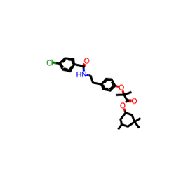 CC1CC(OC(=O)C(C)(C)Oc2ccc(CCNC(=O)c3ccc(Cl)cc3)cc2)CC(C)(C)C1